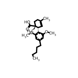 CCCCCc1cc(OC)c([C@H]2C=C(C)CC[C@@]2(C)C(=O)O)c(OC)c1